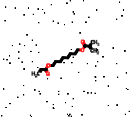 C=CC(=O)OCCCCCCCCOC(=O)C(=C)C